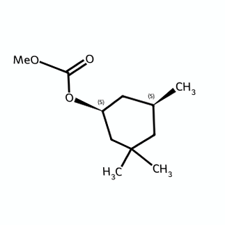 COC(=O)O[C@H]1C[C@@H](C)CC(C)(C)C1